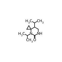 CC(C)C1CNC(=O)N(C(C)C)C12CC2